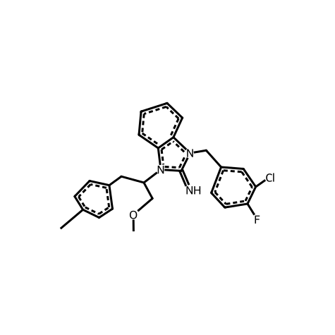 COCC(Cc1ccc(C)cc1)n1c(=N)n(Cc2ccc(F)c(Cl)c2)c2ccccc21